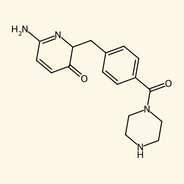 NC1=NC(Cc2ccc(C(=O)N3CCNCC3)cc2)C(=O)C=C1